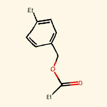 CCC(=O)OCc1ccc(CC)cc1